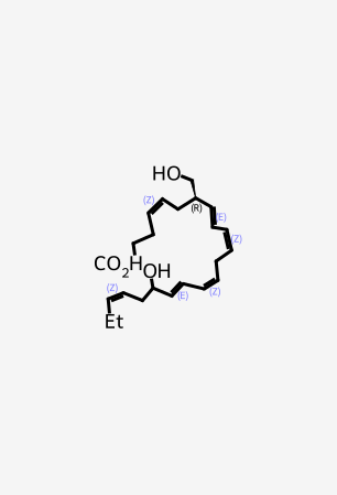 CC/C=C\CC(O)/C=C/C=C\C/C=C\C=C\[C@H](CO)C/C=C\CCC(=O)O